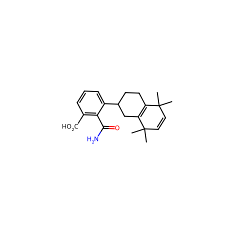 CC1(C)C=CC(C)(C)C2=C1CCC(c1cccc(C(=O)O)c1C(N)=O)C2